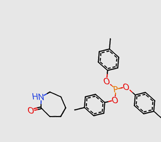 Cc1ccc(OP(Oc2ccc(C)cc2)Oc2ccc(C)cc2)cc1.O=C1CCCCCN1